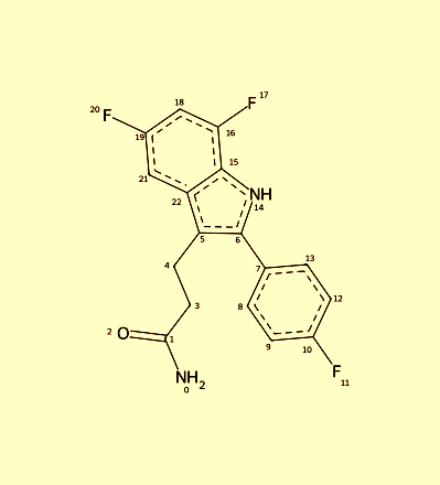 NC(=O)CCc1c(-c2ccc(F)cc2)[nH]c2c(F)cc(F)cc12